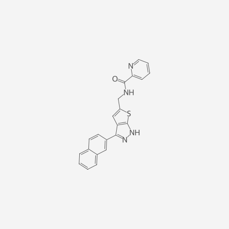 O=C(NCc1cc2c(-c3ccc4ccccc4c3)n[nH]c2s1)c1ccccn1